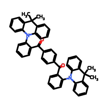 CC1(C)c2ccccc2N(c2ccccc2C(=O)c2ccc(C(=O)c3ccccc3N3c4ccccc4C(C)(C)c4ccccc43)cc2)c2ccccc21